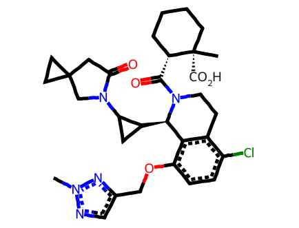 Cn1ncc(COc2ccc(Cl)c3c2[C@@H](C2CC2N2CC4(CC4)CC2=O)N(C(=O)[C@@H]2CCCC[C@]2(C)C(=O)O)CC3)n1